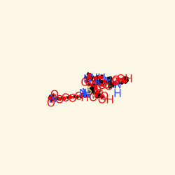 CCC(C)[C@@H]([C@@H](CC(=O)N1CCC[C@H]1[C@H](OC)[C@@H](C)C(=O)NC(Cc1ccccc1)C(=O)O)OC)N(C)C(=O)[C@@H](NC(=O)[C@H](C(C)C)N(C)C(=O)OCc1ccc(O[C@H]2C[C@@H](O)C[C@@H](C(=O)O)O2)c2cc(Cn3cc(COCCOCCOCCOCCN4C(=O)C=CC4=O)nn3)sc12)C(C)C